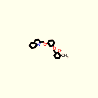 Cc1cccc(COc2cccc(OCc3ccc4ccccc4n3)c2)c1[O]